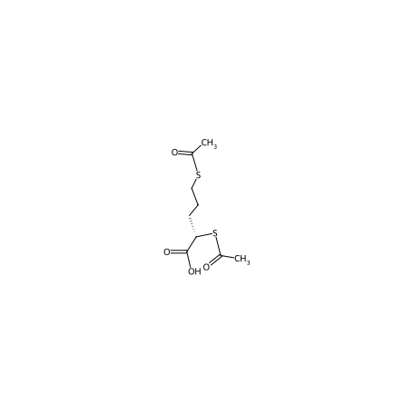 CC(=O)SCCC[C@H](SC(C)=O)C(=O)O